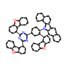 c1ccc2cc3c(cc2c1)c1ccc2ccccc2c1n3-c1ccc(-c2nc(-c3cccc4oc5ccccc5c34)nc(-c3cccc4oc5ccccc5c34)n2)cc1-c1cccc2oc3ccccc3c12